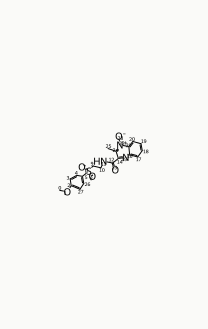 COc1ccc(S(=O)(=O)CCNC(=O)c2nc3ccccc3[n+]([O-])c2C)cc1